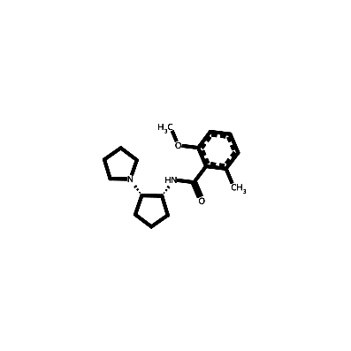 COc1cccc(C)c1C(=O)N[C@@H]1CCC[C@@H]1N1CCCC1